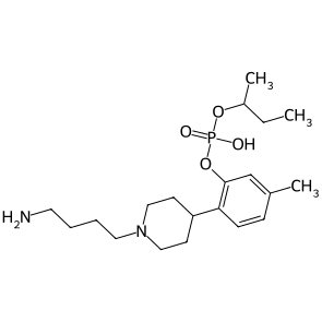 CCC(C)OP(=O)(O)Oc1cc(C)ccc1C1CCN(CCCCN)CC1